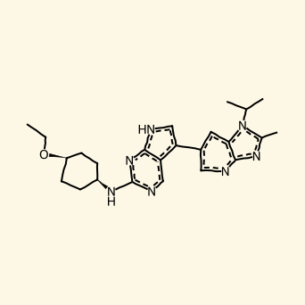 CCO[C@H]1CC[C@@H](Nc2ncc3c(-c4cnc5nc(C)n(C(C)C)c5c4)c[nH]c3n2)CC1